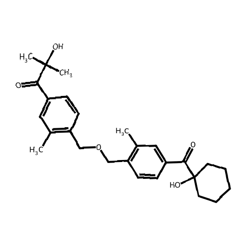 Cc1cc(C(=O)C(C)(C)O)ccc1COCc1ccc(C(=O)C2(O)CCCCC2)cc1C